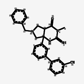 CN1C(=N)NC2(c3cccc(-c4cccc(C#N)c4)c3)CN(Cc3ccccc3)CC2C1=O